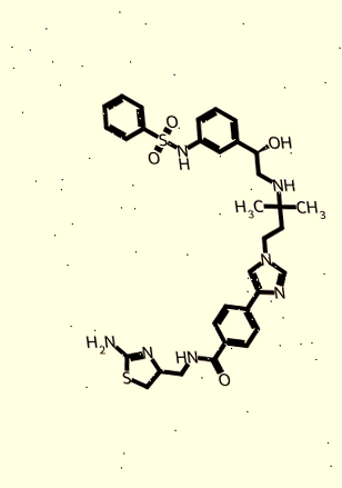 CC(C)(CCn1cnc(-c2ccc(C(=O)NCC3CSC(N)=N3)cc2)c1)NC[C@H](O)c1cccc(NS(=O)(=O)c2ccccc2)c1